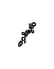 N[C@H](Cc1ccccc1)C(=O)NCC1CN(c2ccc(N3CCOCC3)c(F)c2)C(=O)O1